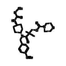 COc1ccc(CN(C(=O)C(C)(C)COC(=O)N2CCOCC2)[C@H]2CC[C@H](NC(=O)OC(C)(C)C)CC2)cc1